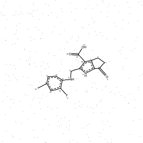 O=C1CCc2c1[nH]c(CNc1ccc(I)cc1F)c2C(=O)O